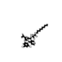 CCCCCCCCCCOC(=O)NC(=O)OCc1nc(C(C)C)c(Sc2cc(Cl)cc(Cl)c2)n1Cc1ccncc1